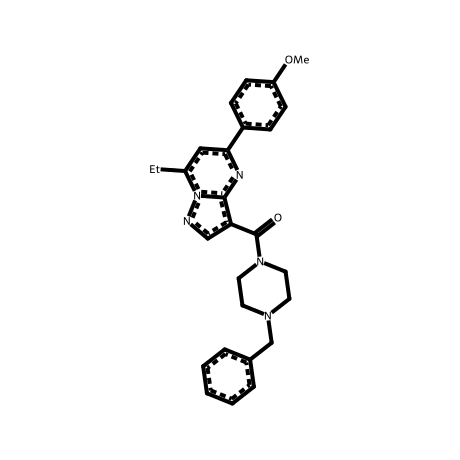 CCc1cc(-c2ccc(OC)cc2)nc2c(C(=O)N3CCN(Cc4ccccc4)CC3)cnn12